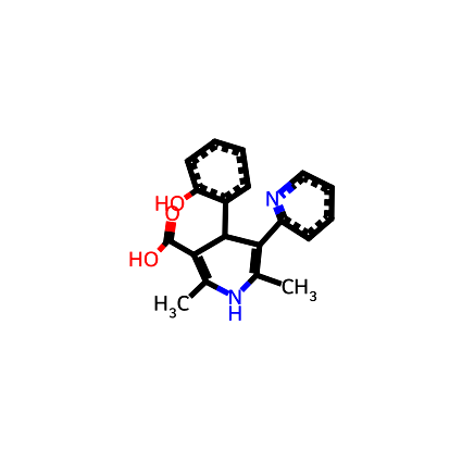 CC1=C(C(=O)O)C(c2ccccc2O)C(c2ccccn2)=C(C)N1